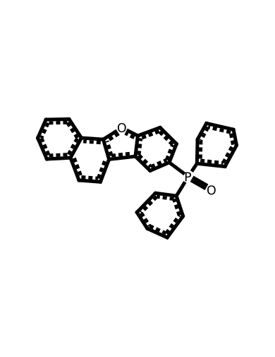 O=P(c1ccccc1)(c1ccccc1)c1ccc2oc3c4ccccc4ccc3c2c1